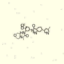 Cc1cncc(-c2ccc3c(=O)n(-c4ccc(OC(F)(F)F)c(NC(=O)C(C)N5CCOCC5)c4)cnc3c2)c1